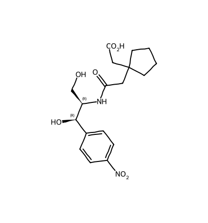 O=C(O)CC1(CC(=O)N[C@H](CO)[C@H](O)c2ccc([N+](=O)[O-])cc2)CCCC1